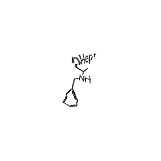 CCCCCCCCC(C)NCc1ccccc1